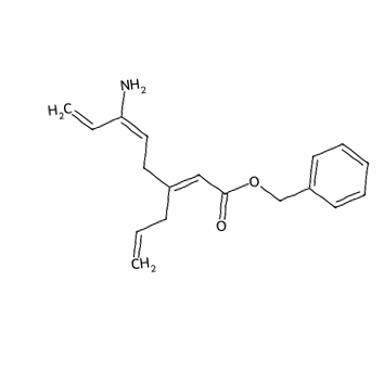 C=CC/C(=C\C(=O)OCc1ccccc1)C/C=C(/N)C=C